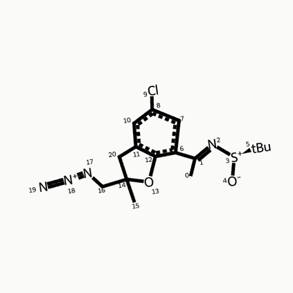 C/C(=N\[S@+]([O-])C(C)(C)C)c1cc(Cl)cc2c1OC(C)(CN=[N+]=[N-])C2